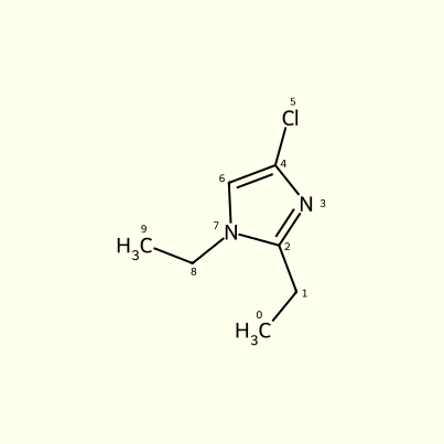 CCc1nc(Cl)cn1CC